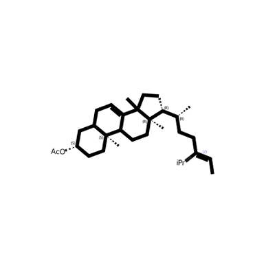 C/C=C(/CC[C@@H](C)[C@H]1CCC2(C)C3=CCC4C[C@@H](OC(C)=O)CC[C@]4(C)C3CC[C@]12C)C(C)C